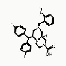 COc1ccccc1CN1CC(C(c2ccc(F)cc2)c2ccc(F)cc2)N2CCN(C(=O)O)C[C@H]2C1